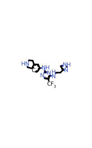 FC(F)(F)c1cnc(Nc2ccc3c(c2)CCNC3)nc1NCCc1c[nH]cn1